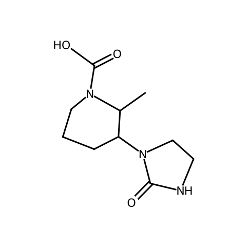 CC1C(N2CCNC2=O)CCCN1C(=O)O